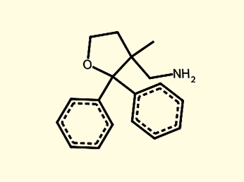 CC1(CN)CCOC1(c1ccccc1)c1ccccc1